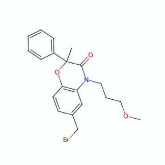 COCCCN1C(=O)C(C)(c2ccccc2)Oc2ccc(CBr)cc21